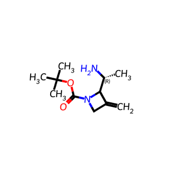 C=C1CN(C(=O)OC(C)(C)C)C1[C@@H](C)N